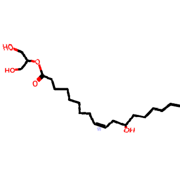 CCCCCCC(O)C/C=C\CCCCCCCC(=O)OC(CO)CO